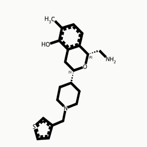 Cc1ccc2c(c1O)C[C@@H](C1CCN(Cc3ccsc3)CC1)O[C@H]2CN